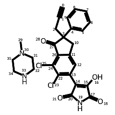 C#CCC1(c2ccccc2)Cc2cc(C3=C(O)C(=O)NC3=O)c(Cl)c(Cl)c2C1=O.CN1CCNCC1